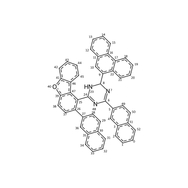 c1ccc2cc(C3=NC(c4cc5ccccc5c5ccccc45)NC(c4c(-c5ccc6ccccc6c5)ccc5oc6ccccc6c45)=N3)ccc2c1